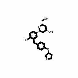 OC[C@@H]1C[C@H](O)C[C@H](c2ccc(Cl)c(Cc3ccc(O[C@H]4CCOC4)cc3)c2)O1